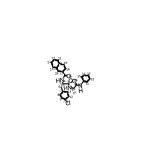 C[C@H](NC(=O)[C@H](Cc1ccc(Cl)cc1)NC(=O)c1ccc2ccccc2c1)C(=O)Nc1ccccc1